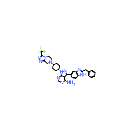 Nc1ncnc2c1c(-c1ccc3[nH]c(Cc4ccccc4)nc3c1)nn2[C@H]1CC[C@H](N2CCn3c(nnc3C(F)(F)F)C2)CC1